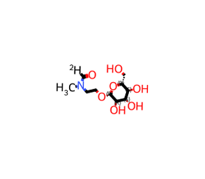 [2H]C(=O)N(C)CCO[C@@H]1O[C@H](CO)[C@@H](O)[C@H](O)[C@H]1O